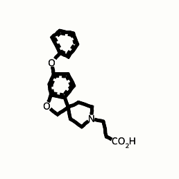 O=C(O)CCN1CCC2(CC1)COc1cc(Oc3ccccc3)ccc12